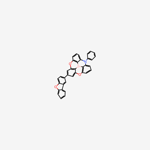 c1ccc(N2c3cccc4c3B3c5c(cc(-c6ccc7oc8ccccc8c7c6)cc5Oc5cccc2c53)O4)cc1